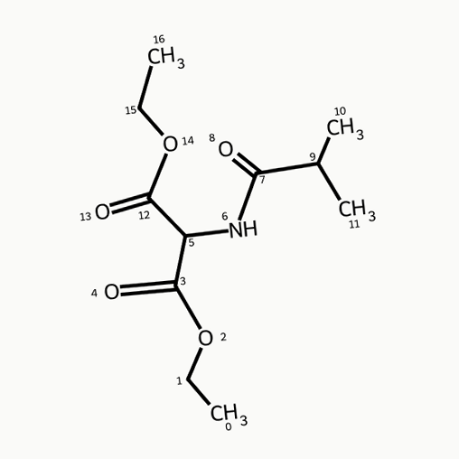 CCOC(=O)C(NC(=O)C(C)C)C(=O)OCC